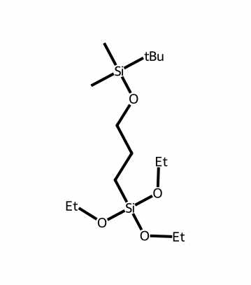 CCO[Si](CCCO[Si](C)(C)C(C)(C)C)(OCC)OCC